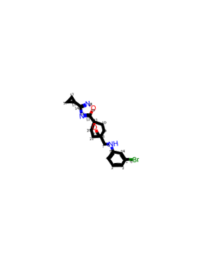 Brc1cccc(NCC23CCC(c4nc(C5CC5)no4)(CC2)OC3)c1